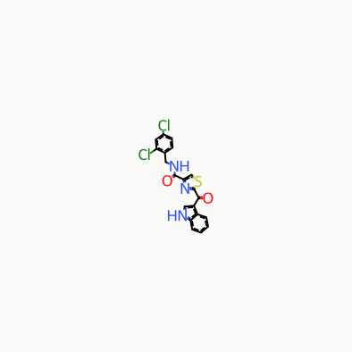 O=C(NCc1ccc(Cl)cc1Cl)c1csc(C(=O)c2c[nH]c3ccccc23)n1